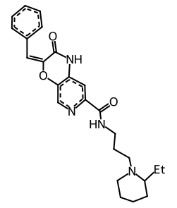 CCC1CCCCN1CCCNC(=O)c1cc2c(cn1)OC(=Cc1ccccc1)C(=O)N2